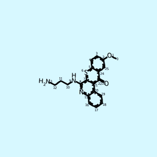 COc1ccc2sc3c(NCCCN)nc4ccccc4c3c(=O)c2c1